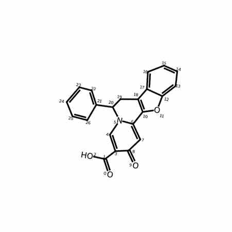 O=C(O)c1cn2c(cc1=O)-c1oc3ccccc3c1CC2c1ccccc1